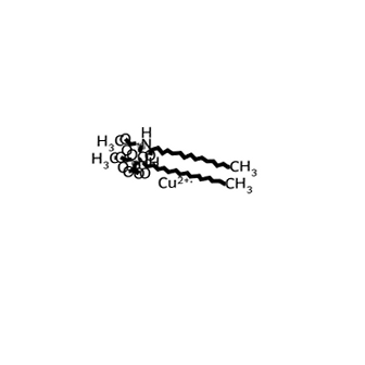 CCCCCCCCCCCCCCCC(=O)N[C@@H](CC(=O)OC)C(=O)[O-].CCCCCCCCCCCCCCCC(=O)N[C@@H](CC(=O)OC)C(=O)[O-].[Cu+2]